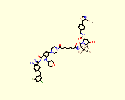 Cc1ncsc1-c1ccc(CNC(=O)[C@@H]2CC(O)CN2C(=O)[C@@H](NC(=O)CCCCCC(=O)N2CCN(c3ccc(C(=O)Nc4n[nH]c5ccc(Cc6cc(F)cc(F)c6)cc45)c(NC4CCOCC4)c3)CC2)C(C)(C)C)cc1